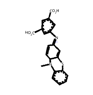 CN1c2ccccc2SC2=C/C(=N/c3cc(C(=O)O)cc(C(=O)O)c3)C=CC21